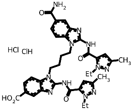 CCn1nc(C)cc1C(=O)Nc1nc2cc(C(N)=O)ccc2n1CCCCn1c(NC(=O)c2cc(C)nn2CC)nc2cc(C(=O)O)ccc21.Cl.Cl